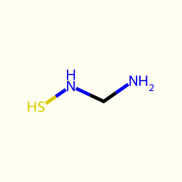 NCNS